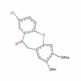 COc1cc2c(cc1OC)Sc1ccc(Cl)cc1C(=O)C2